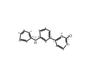 Clc1nccc(-c2cccc(Nc3ccccc3)c2)n1